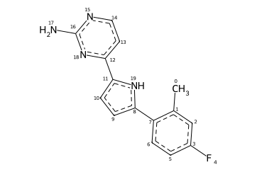 Cc1cc(F)ccc1-c1ccc(-c2ccnc(N)n2)[nH]1